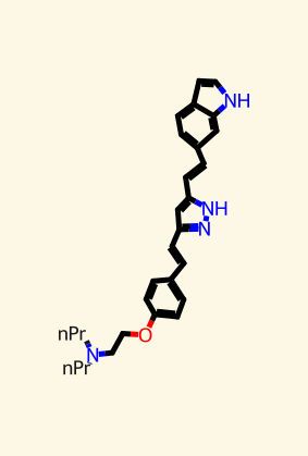 CCCN(CCC)CCOc1ccc(/C=C/c2cc(/C=C/c3ccc4cc[nH]c4c3)[nH]n2)cc1